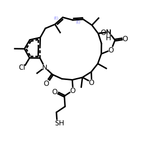 C/C1=C\C=C\C(C)C2(O)CC(OC(=O)N2)C(C)C2OC2(C)C(OC(=O)CCS)CC(=O)N(C)c2cc(cc(C)c2Cl)C1